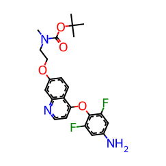 CN(CCOc1ccc2c(Oc3c(F)cc(N)cc3F)ccnc2c1)C(=O)OC(C)(C)C